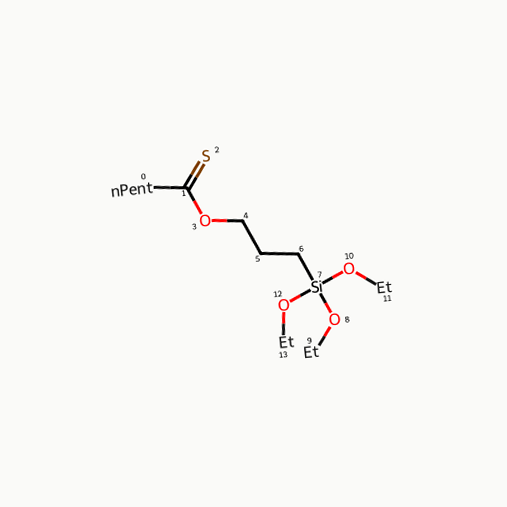 CCCCCC(=S)OCCC[Si](OCC)(OCC)OCC